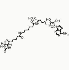 Nc1ncnc2c1ncn2[C@@H]1O[C@H](CSCC[C@H](NC(=O)CCCCCNC(=O)CCCC[C@H]2SC[C@H]3NC(=O)N[C@H]32)C(=O)O)[C@@H](O)[C@H]1O